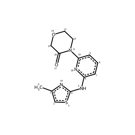 Cc1csc(Nc2cccc(N3CCOCC3=O)n2)n1